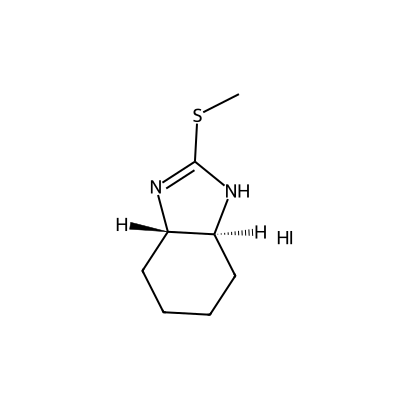 CSC1=N[C@H]2CCCC[C@@H]2N1.I